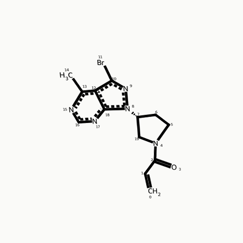 C=CC(=O)N1CC[C@@H](n2nc(Br)c3c(C)ncnc32)C1